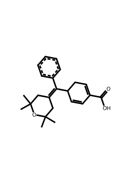 CC1(C)CC(=C(c2ccccc2)C2C=CC(C(=O)O)=CC2)CC(C)(C)O1